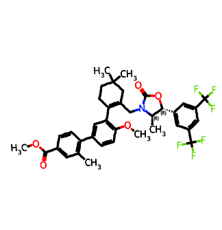 COC(=O)c1ccc(-c2ccc(OC)c(C3=C(CN4C(=O)O[C@H](c5cc(C(F)(F)F)cc(C(F)(F)F)c5)[C@H]4C)CC(C)(C)CC3)c2)c(C)c1